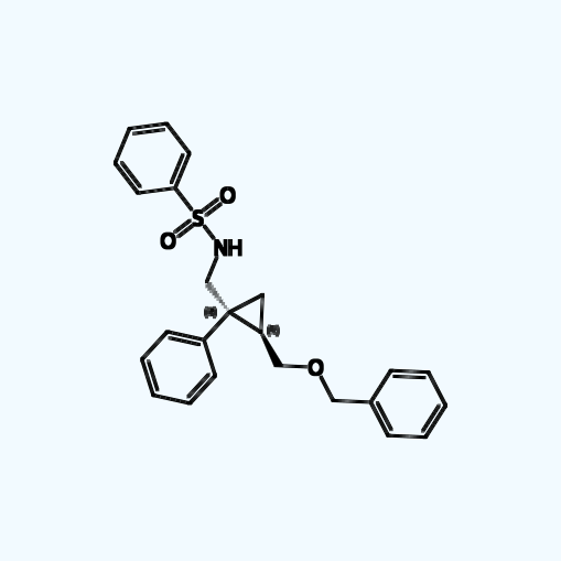 O=S(=O)(NC[C@]1(c2ccccc2)C[C@H]1COCc1ccccc1)c1ccccc1